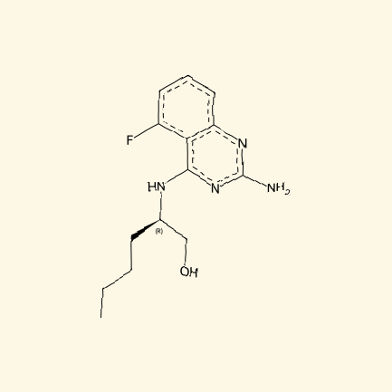 CCCC[C@H](CO)Nc1nc(N)nc2cccc(F)c12